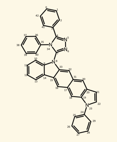 c1ccc(-c2nnc(-n3c4ccccc4c4cc5cc6c(ccn6-c6ccccc6)cc5cc43)n2-c2ccccc2)cc1